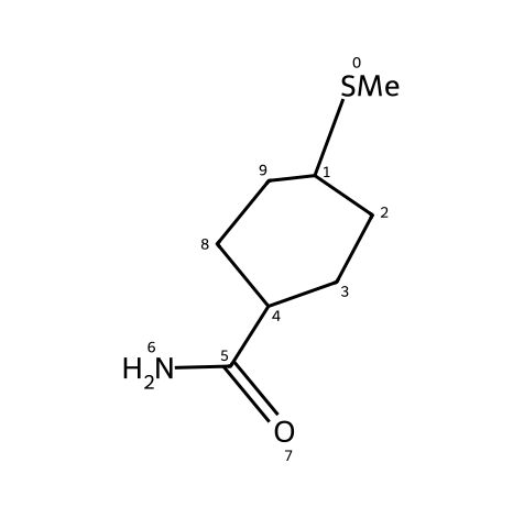 CSC1CCC(C(N)=O)CC1